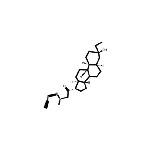 C#C/C=N\N(C)CC(=O)[C@H]1CC[C@H]2[C@@H]3CC[C@@H]4C[C@@](O)(CC)CC[C@@H]4[C@H]3CC[C@]12C